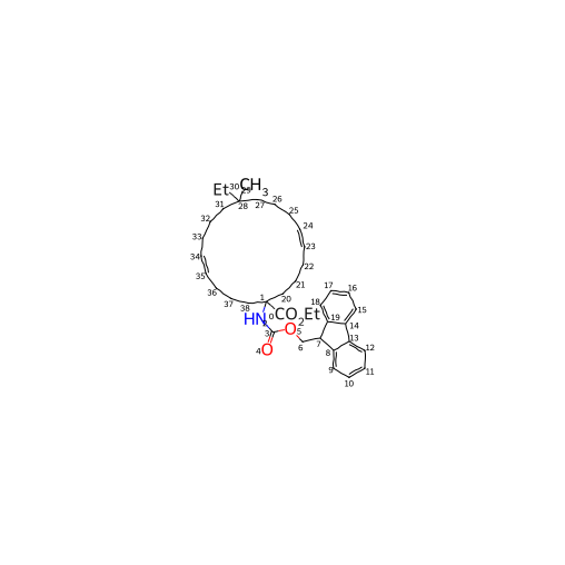 CCOC(=O)C1(NC(=O)OCC2c3ccccc3-c3ccccc32)CCCC=CCCCC(C)(CC)CCCC=CCCC1